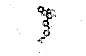 COc1ccccc1-c1c[nH]c2c1C=C(c1cncc(CN3CCN(CCN(C)C)CC3)c1)CN2